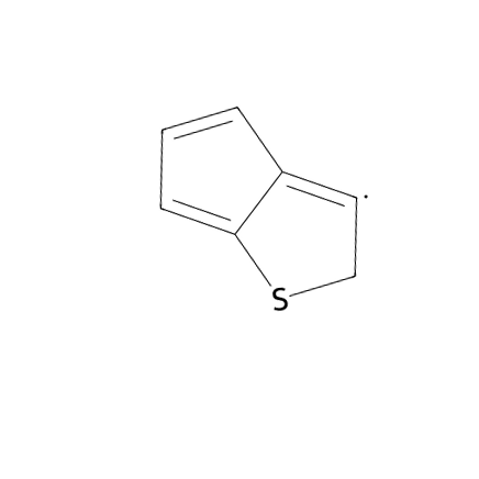 [C]1=C2C=CC=C2SC1